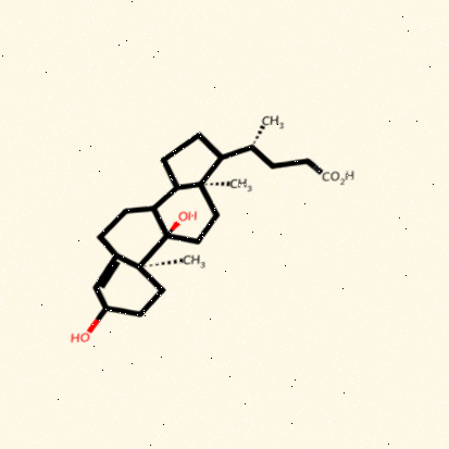 C[C@H](CCC(=O)O)C1CCC2C3CCC4=CC(O)CC[C@]4(C)[C@@]3(O)CC[C@@]21C